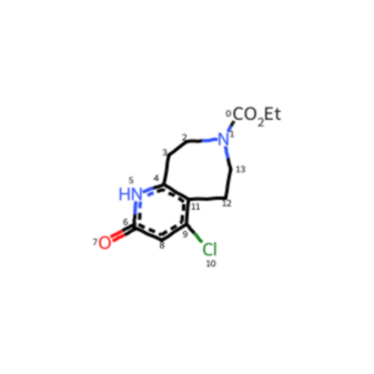 CCOC(=O)N1CCc2[nH]c(=O)cc(Cl)c2CC1